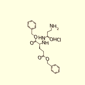 Cl.NCCC(=O)NN[C@@H](CCC(=O)OCc1ccccc1)C(=O)OCc1ccccc1